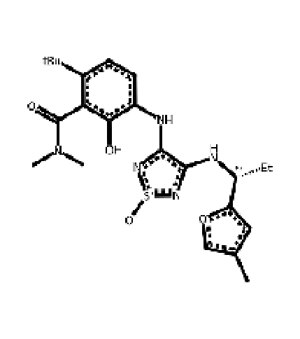 CC[C@@H](Nc1n[s+]([O-])nc1Nc1ccc(C(C)(C)C)c(C(=O)N(C)C)c1O)c1cc(C)co1